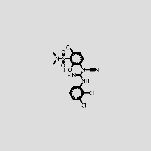 CN(C)S(=O)(=O)c1c(Cl)ccc(N(C#N)C(=N)Nc2cccc(Cl)c2Cl)c1O